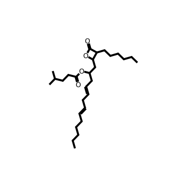 CCCCC/C=C/C/C=C/CC(CC1OC(=O)C1CCCCCC)OC(=O)CCC(C)C